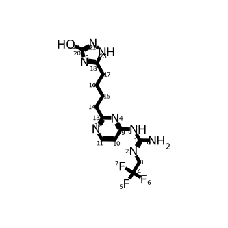 NC(=NCC(F)(F)F)Nc1ccnc(CCCCc2nc(O)n[nH]2)n1